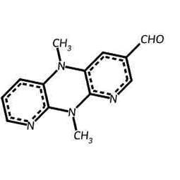 CN1c2cccnc2N(C)c2ncc(C=O)cc21